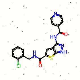 O=C(Nc1n[nH]c2sc(C(=O)NCc3ccccc3Cl)cc12)c1ccncc1